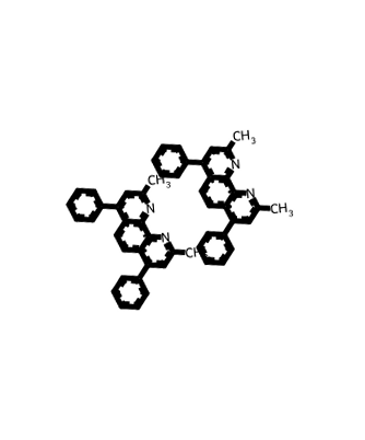 Cc1cc(-c2ccccc2)c2ccc3c(-c4ccccc4)cc(C)nc3c2n1.Cc1cc(-c2ccccc2)c2ccc3c(-c4ccccc4)cc(C)nc3c2n1